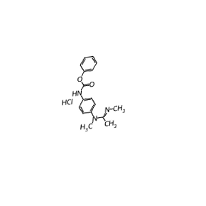 CN=C(C)N(C)c1ccc(NC(=O)Oc2ccccc2)cc1.Cl